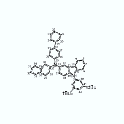 CC(C)(C)c1cc(-n2c3ccccc3c3cc(N(c4ccc(-c5ccccc5)cc4)c4ccc5ccccc5c4)ccc32)cc(C(C)(C)C)c1